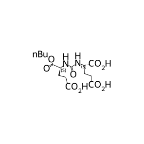 CCCCOC(=O)[C@H](CCC(=O)O)NC(=O)N[C@@H](CCC(=O)O)C(=O)O